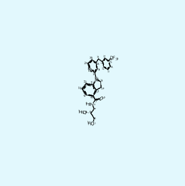 O=C(NC[C@@H](O)CO)c1cccc2c1CCN2c1cc(Cc2cccc(C(F)(F)F)c2)ccn1